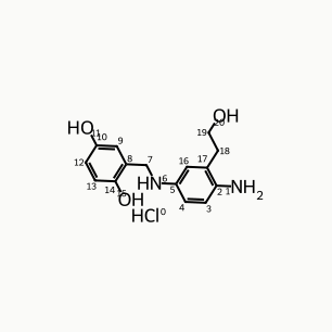 Cl.Nc1ccc(NCc2cc(O)ccc2O)cc1CCO